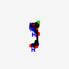 Cn1c(=O)n(C2CCC(=O)NC2=O)c2ccc(CCCCCNC(=O)[C@H]3CC[C@H](NC(=O)[C@@H]4NC5(CCC(C)(C)CC5)[C@@]5(C(=O)Nc6cc(Cl)ccc65)[C@H]4c4cccc(Cl)c4F)CC3)cc21